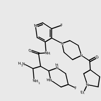 CCN1CCC(C(=O)N2CCN(c3c(F)cncc3NC(=O)C(C(N)N)C3NCC(F)CN3)CC2)C1